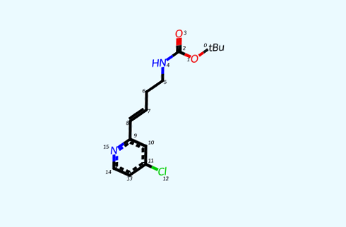 CC(C)(C)OC(=O)NCCC=Cc1cc(Cl)ccn1